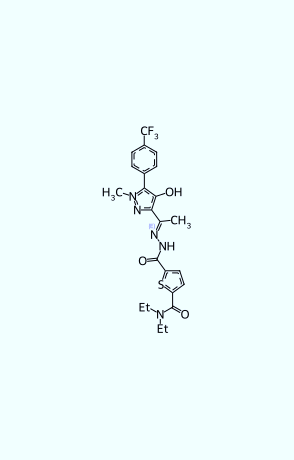 CCN(CC)C(=O)c1ccc(C(=O)N/N=C(\C)c2nn(C)c(-c3ccc(C(F)(F)F)cc3)c2O)s1